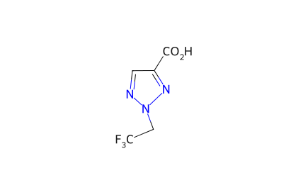 O=C(O)c1cnn(CC(F)(F)F)n1